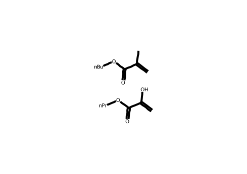 C=C(C)C(=O)OCCCC.C=C(O)C(=O)OCCC